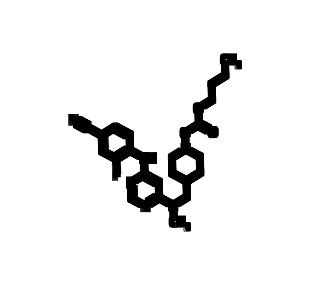 CCCCOC(=O)ON1CCC(CN(C)c2cc(Nc3ccc(C#N)cc3F)ncn2)CC1